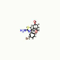 NC1=NC2(CS1)c1cc(Br)ccc1O[C@H]1CCC(=O)C[C@@H]12